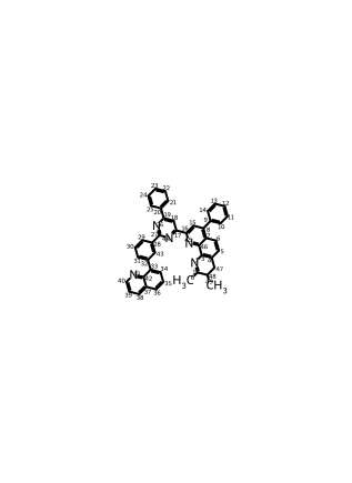 CC1=Nc2c(ccc3c(-c4ccccc4)cc(-c4cc(-c5ccccc5)nc(-c5cccc(-c6cccc7cccnc67)c5)n4)nc23)CC1C